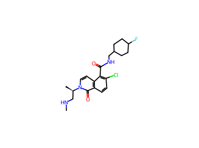 CNC[C@@H](C)n1ccc2c(C(=O)NCC3CCC(F)CC3)c(Cl)ccc2c1=O